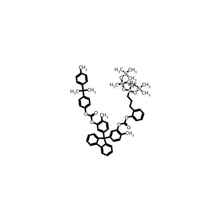 Cc1ccc(C(C)(C)c2ccc(OC(=O)Oc3cc(C4(c5ccc(C)c(OC(=O)Oc6ccccc6CCC[Si](C)(O[Si](C)(C)C)O[Si](C)(C)O[Si](C)(C)C)c5)c5ccccc5-c5ccccc54)ccc3C)cc2)cc1